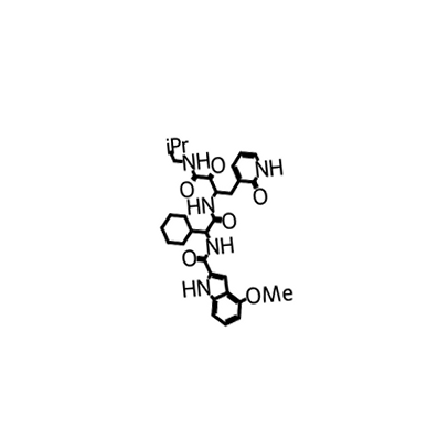 COc1cccc2[nH]c(C(=O)NC(C(=O)NC(Cc3ccc[nH]c3=O)C(=O)C(=O)NCC(C)C)C3CCCCC3)cc12